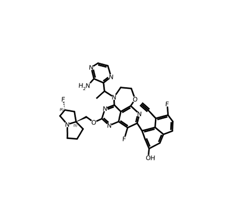 C#Cc1c(F)ccc2cc(O)cc(-c3nc4c5c(nc(OC[C@@]67CCCN6C[C@H](F)C7)nc5c3F)N(C(C)c3nccnc3N)CCO4)c12